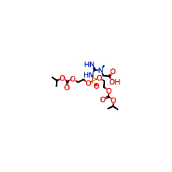 CC(C)OC(=O)OCCOP(=O)(NC(=N)N(C)CC(=O)O)OCCOC(=O)OC(C)C